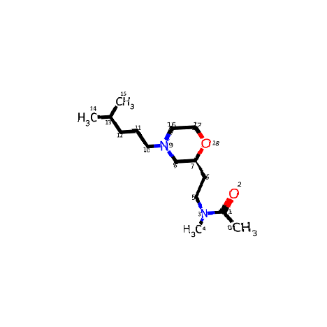 CC(=O)N(C)CC[C@H]1CN(CCCC(C)C)CCO1